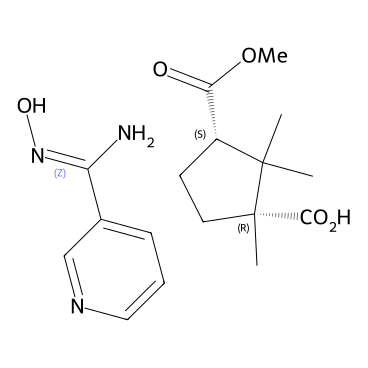 COC(=O)[C@H]1CC[C@@](C)(C(=O)O)C1(C)C.N/C(=N\O)c1cccnc1